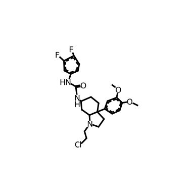 COc1ccc(C23CCC(NC(=O)Nc4ccc(F)c(F)c4)CC2N(CCCl)CC3)cc1OC